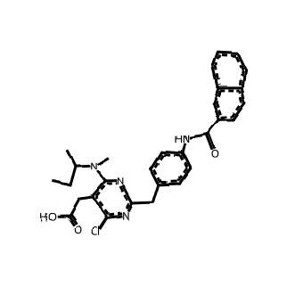 CCC(C)N(C)c1nc(Cc2ccc(NC(=O)c3ccc4ccccc4c3)cc2)nc(Cl)c1CC(=O)O